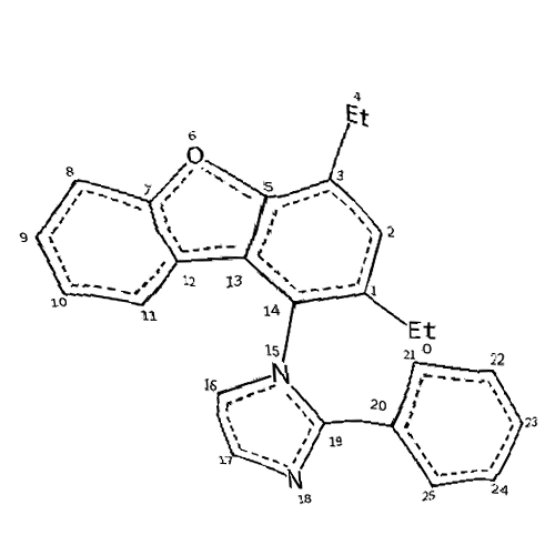 CCc1cc(CC)c2oc3ccccc3c2c1-n1ccnc1-c1ccccc1